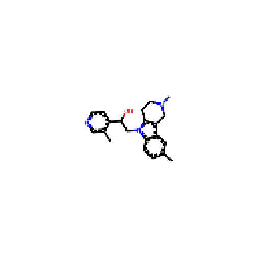 Cc1ccc2c(c1)c1c(n2CC(O)c2ccncc2C)CCN(C)C1